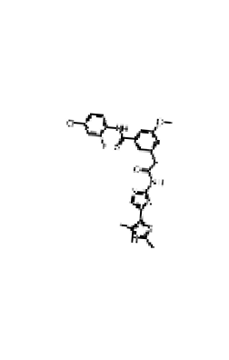 COc1cc(CC(=O)Nc2nc(-c3sc(C)nc3C)cs2)cc(C(=O)Nc2ccc(Cl)cc2F)c1